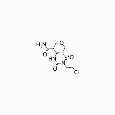 NC(=O)[C@H]1COCC2=C1NC(=O)N(CCCl)[S+]2[O-]